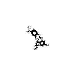 CCN(CC)c1ccc(NC(=O)OC(CS(=O)(=O)CCl)c2ccc(Cl)cc2)c(C)c1